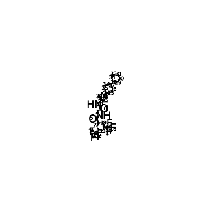 O=C(CNC(=O)c1cc(C(F)(F)F)cc(C(F)(F)F)c1)NC1CN(C2CCC(c3ccccc3)CC2)C1